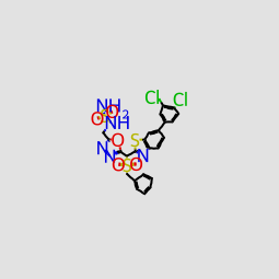 NS(=O)(=O)NCc1nnc(C(c2nc3ccc(-c4ccc(Cl)c(Cl)c4)cc3s2)S(=O)(=O)Cc2ccccc2)o1